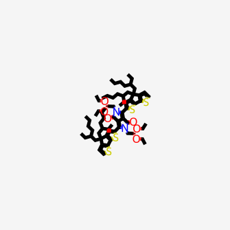 CCCCC(CC)CC1(CC(CC)CCCC)c2ccsc2-c2sc(C3=C4C(=O)N(CC(OCC)OCC)C(c5cc6c(s5)-c5sccc5C6(CC(CC)CCCC)CC(CC)CCCC)=C4C(=O)N3CC(OCC)OCC)cc21